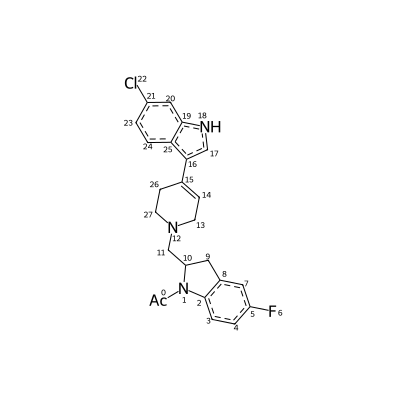 CC(=O)N1c2ccc(F)cc2CC1CN1CC=C(c2c[nH]c3cc(Cl)ccc23)CC1